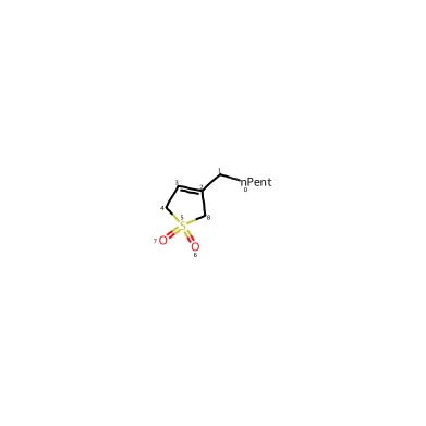 CCCCCCC1=CCS(=O)(=O)C1